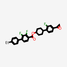 CCc1ccc(-c2ccc(C(=O)OC3CCC(c4ccc(C5CO5)cc4F)CC3)c(F)c2F)cc1